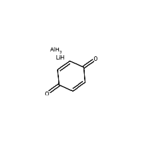 O=C1C=CC(=O)C=C1.[AlH3].[LiH]